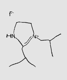 CC(C)C1=[N+](C(C)C)CCN1.[F-]